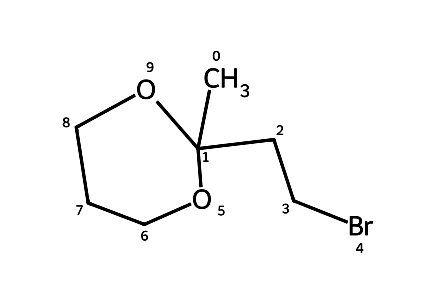 CC1(CCBr)OCCCO1